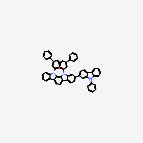 c1ccc(-c2cccc(-n3c4ccccc4c4ccc5c6ccc(-c7ccc8c9ccccc9n(-c9ccccc9)c8c7)cc6n(-c6cccc(-c7ccccc7)c6)c5c43)c2)cc1